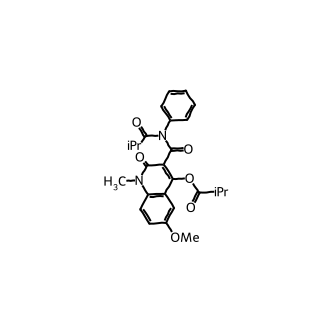 COc1ccc2c(c1)c(OC(=O)C(C)C)c(C(=O)N(C(=O)C(C)C)c1ccccc1)c(=O)n2C